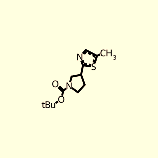 Cc1cnc(C2CCN(C(=O)OC(C)(C)C)C2)s1